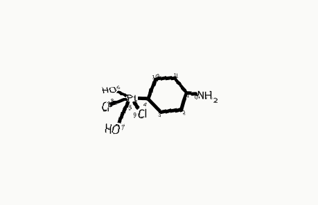 NC1CC[CH]([Pt]([OH])([OH])([Cl])[Cl])CC1